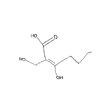 CCCC(O)=C(CO)C(=O)O